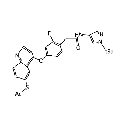 CC(=O)Sc1ccc2nccc(Oc3ccc(CC(=O)Nc4cnn(C(C)(C)C)c4)c(F)c3)c2c1